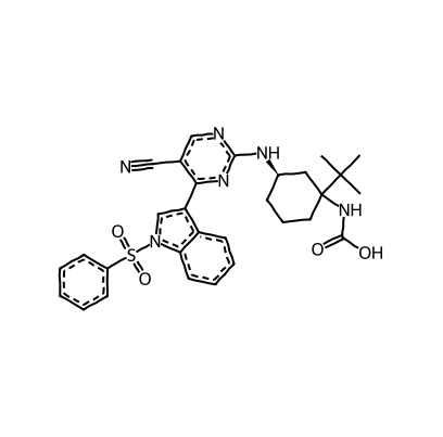 CC(C)(C)C1(NC(=O)O)CCC[C@@H](Nc2ncc(C#N)c(-c3cn(S(=O)(=O)c4ccccc4)c4ccccc34)n2)C1